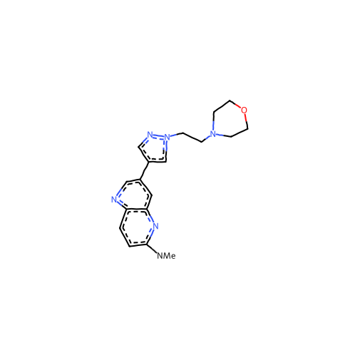 CNc1ccc2ncc(-c3cnn(CCN4CCOCC4)c3)cc2n1